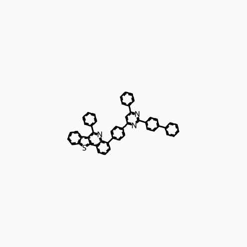 c1ccc(-c2ccc(-c3nc(-c4ccccc4)cc(-c4ccc(-c5cccc6c5nc(-c5ccccc5)c5c7ccccc7sc65)cc4)n3)cc2)cc1